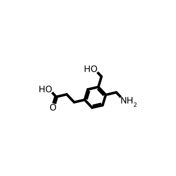 NCc1ccc(CCC(=O)O)cc1CO